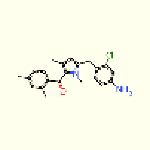 Cc1ccc(C(=O)c2c(C)cc(Cc3ccc(N)cc3Cl)n2C)c(C)c1